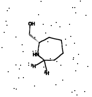 [2H]C1([2H])CCCC[C@@H](CO)N1